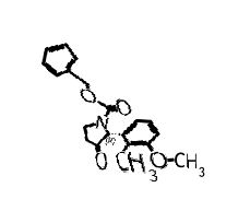 COc1cccc([C@@H]2C(=O)CCN2C(=O)OCc2ccccc2)c1C